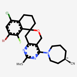 CSc1nc2c(c(N3CCC[C@@H](C#N)CC3)n1)COC1(CCCc3c(Cl)cc(Br)c(F)c31)C2